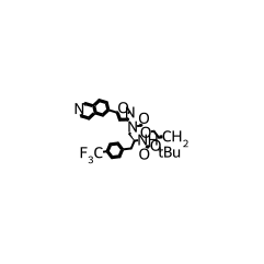 C=CCOC(=O)N(C[C@H](Cc1ccc(C(F)(F)F)cc1)NC(=O)OC(C)(C)C)c1cc(-c2ccc3cnccc3c2)on1